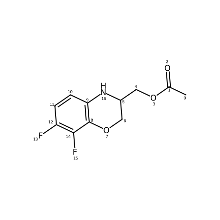 CC(=O)OCC1COc2c(ccc(F)c2F)N1